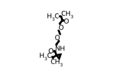 CC(C)C(=O)COCCOCCNC(=O)C1(C(C)C)CC1